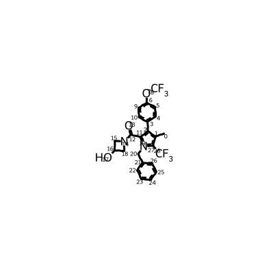 Cc1c(-c2ccc(OC(F)(F)F)cc2)c(C(=O)N2CC(O)C2)n(Cc2ccccc2)c1C(F)(F)F